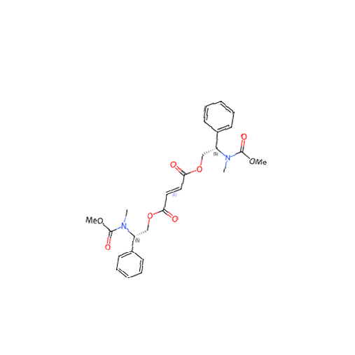 COC(=O)N(C)[C@H](COC(=O)/C=C/C(=O)OC[C@H](c1ccccc1)N(C)C(=O)OC)c1ccccc1